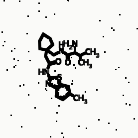 Cc1ccc2nc(NC(=O)CC3(CNC(=O)[C@@H](N)C(C)C)CCCCC3)sc2c1